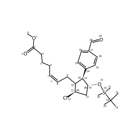 COC(=O)CCC/C=C\CC1[C@H](Cl)C[C@@H](O[Si](C)(C)C(C)(C)C)[C@@H]1c1ccc(C=O)cc1